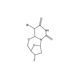 O=C1NC(=O)N2C3CC(F)C(COC2C1Br)O3